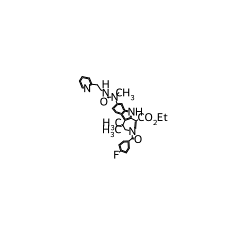 CCOC(=O)C1=CN(C(=O)c2ccc(F)cc2)CC(C)(C)c2c1[nH]c1cc(N(C)C(=O)NCCc3ccccn3)ccc21